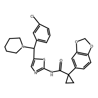 O=C(Nc1ncc(C(c2cccc(Cl)c2)N2CCCCC2)s1)C1(c2ccc3c(c2)OCO3)CC1